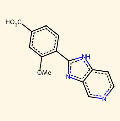 COc1cc(C(=O)O)ccc1-c1nc2cnccc2[nH]1